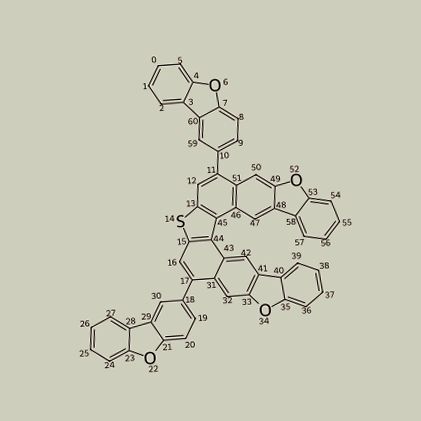 c1ccc2c(c1)oc1ccc(-c3cc4sc5cc(-c6ccc7oc8ccccc8c7c6)c6cc7oc8ccccc8c7cc6c5c4c4cc5c(cc34)oc3ccccc35)cc12